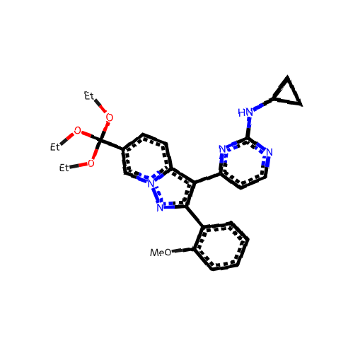 CCOC(OCC)(OCC)c1ccc2c(-c3ccnc(NC4CC4)n3)c(-c3ccccc3OC)nn2c1